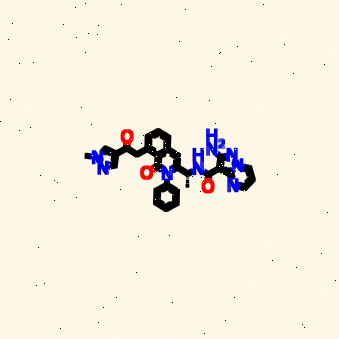 C[C@@H](NC(=O)c1c(N)nn2cccnc12)c1cc2cccc(CC(=O)c3cnn(C)c3)c2c(=O)n1-c1ccccc1